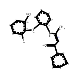 C/C(=C/C(=O)c1ccccc1)Nc1ccccc1Oc1c(Cl)cccc1I